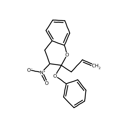 C=CCC1(Oc2ccccc2)Oc2ccccc2CC1[N+](=O)[O-]